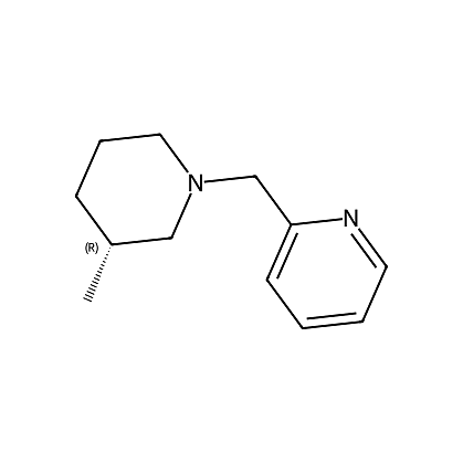 C[C@@H]1CCCN(Cc2ccccn2)C1